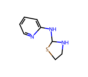 c1ccc(NC2NCCS2)nc1